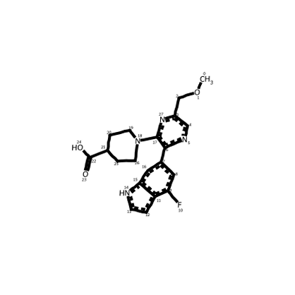 COCc1cnc(-c2cc(F)c3cc[nH]c3c2)c(N2CCC(C(=O)O)CC2)n1